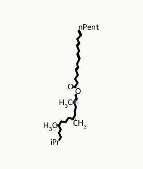 CCCCCC=CCC=CCC=CCC=CCCCC(=O)OC/C=C(\C)CCC[C@H](C)CCC[C@H](C)CCCC(C)C